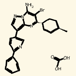 C[C@H]1CC[C@H](c2nc3c(-c4ccc(-c5ccccc5)nc4)cnn3c(N)c2Br)CC1.O=C(O)O